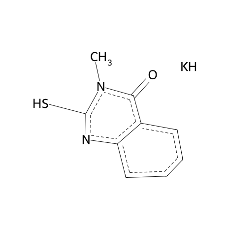 Cn1c(S)nc2ccccc2c1=O.[KH]